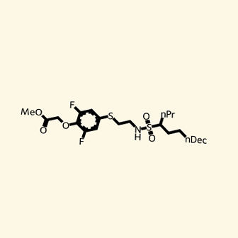 CCCCCCCCCCCCC(CCC)S(=O)(=O)NCCSc1cc(F)c(OCC(=O)OC)c(F)c1